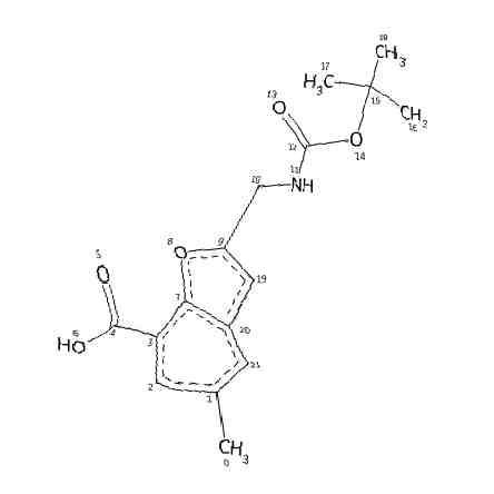 Cc1cc(C(=O)O)c2oc(CNC(=O)OC(C)(C)C)cc2c1